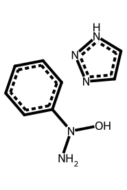 NN(O)c1ccccc1.c1c[nH]nn1